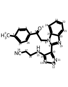 Cc1ccc(C(=O)Cn2c(-c3nonc3NCCC#N)nc3ccccc32)cc1